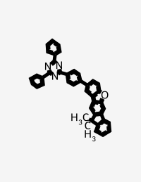 CC1(C)c2ccccc2-c2cc3oc4ccc(-c5ccc(-c6nc(-c7ccccc7)nc(-c7ccccc7)n6)cc5)cc4c3cc21